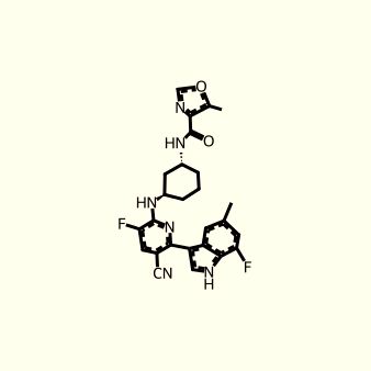 Cc1cc(F)c2[nH]cc(-c3nc(N[C@@H]4CCC[C@@H](NC(=O)c5ncoc5C)C4)c(F)cc3C#N)c2c1